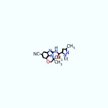 CCn1nc(C)cc1C(=O)Nc1nc2cc(C#N)cc3c2n1C(C)(C)CO3